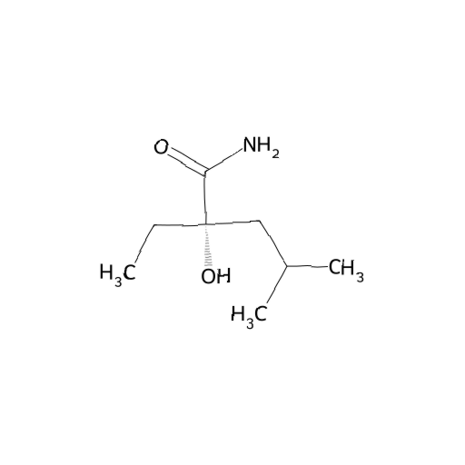 CC[C@](O)(CC(C)C)C(N)=O